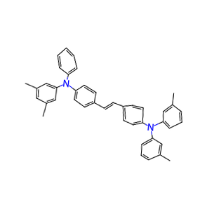 Cc1cccc(N(c2ccc(/C=C/c3ccc(N(c4ccccc4)c4cc(C)cc(C)c4)cc3)cc2)c2cccc(C)c2)c1